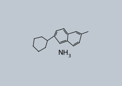 Cc1ccc2cc(C3CCCCC3)ccc2c1.N